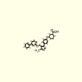 Cc1noc(-c2ccc(O[C@@H]3CCC[C@H](C(=O)O)C3)cc2)c1COc1nccc(-c2ccccc2)n1